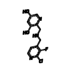 Oc1cnc(CNCc2ccnc(Cl)c2F)c(O)c1